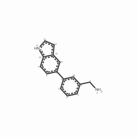 NCc1cccc(-c2ccc3[nH]ccc3c2)c1